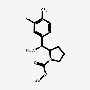 CC(C)(C)OC(=O)N1CCCC1[C@@H](C(=O)O)c1ccc(C(F)(F)F)c(F)c1